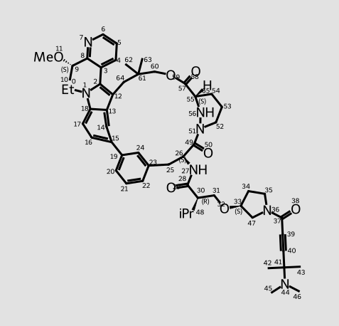 CCn1c(-c2cccnc2[C@H](C)OC)c2c3cc(ccc31)-c1cccc(c1)C[C@H](NC(=O)[C@@H](CO[C@H]1CCN(C(=O)C#CC(C)(C)N(C)C)C1)C(C)C)C(=O)N1CCC[C@H](N1)C(=O)OCC(C)(C)C2